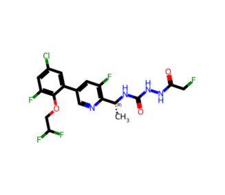 C[C@@H](NC(=O)NNC(=O)CF)c1ncc(-c2cc(Cl)cc(F)c2OCC(F)F)cc1F